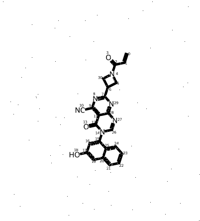 C=CC(=O)N1CC(c2nc(C#N)c3c(=O)n(-c4cc(O)cc5ccccc45)cnc3n2)C1